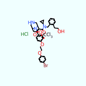 CC(C)(OC(=O)N1C2CNCC1C(C(=O)N(Cc1ccccc1CCO)C1CC1)=C(c1ccc(OCCOc3ccc(Br)cc3)cc1)C2)C(Cl)(Cl)Cl.Cl